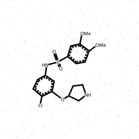 COc1ccc(S(=O)(=O)Nc2ccc(Cl)c(OC3CCNC3)c2)cc1OC